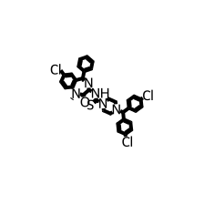 CN1C(=O)C(NC(=S)N2CCN(C(c3ccc(Cl)cc3)c3ccc(Cl)cc3)CC2)N=C(c2ccccc2)c2cc(Cl)ccc21